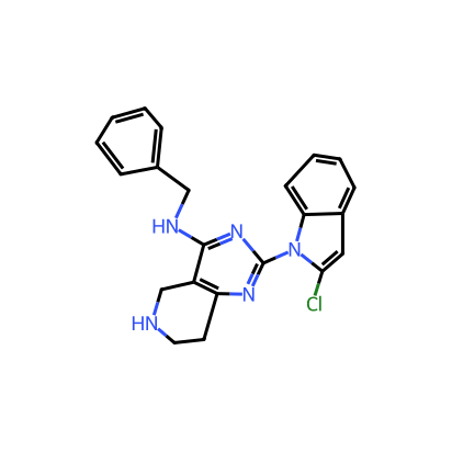 Clc1cc2ccccc2n1-c1nc2c(c(NCc3ccccc3)n1)CNCC2